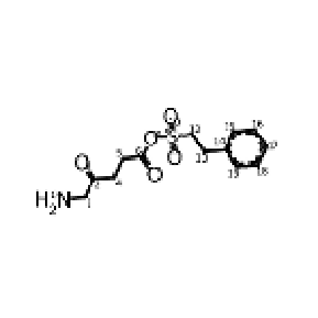 NCC(=O)CCC(=O)OS(=O)(=O)CCc1ccccc1